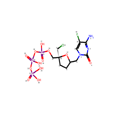 Nc1nc(=O)n(CC2CC[C@@](CCl)(COP(=O)(O)OP(=O)(O)OP(=O)(O)O)O2)cc1F